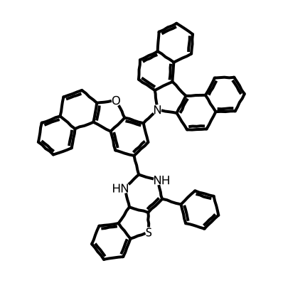 c1ccc(C2=C3Sc4ccccc4C3NC(c3cc(-n4c5ccc6ccccc6c5c5c6ccccc6ccc54)c4oc5ccc6ccccc6c5c4c3)N2)cc1